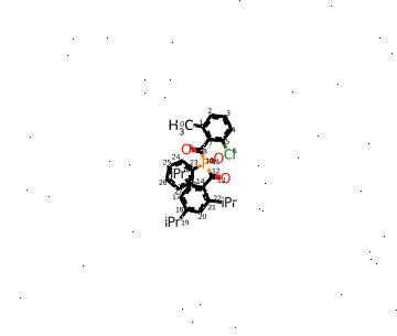 Cc1cccc(Cl)c1C(=O)P(=O)(C(=O)c1c(C(C)C)cc(C(C)C)cc1C(C)C)c1ccccc1